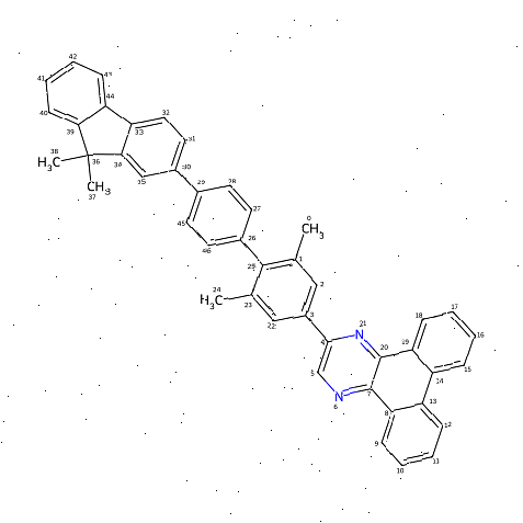 Cc1cc(-c2cnc3c4ccccc4c4ccccc4c3n2)cc(C)c1-c1ccc(-c2ccc3c(c2)C(C)(C)c2ccccc2-3)cc1